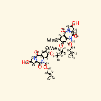 COc1cc2c(cc1OCC(C)(C)CC(C)(C)COc1cc3c(cc1OC)C(=O)N1CC(O)C[C@H]1C(=O)N3COCC[Si](C)(C)C)N(COCC[Si](C)(C)C)C(=O)C1CC(O)CN1C2=O